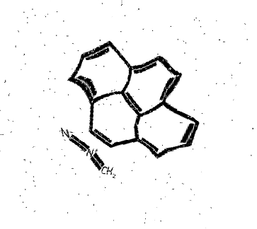 C=[N+]=[N-].c1cc2ccc3cccc4ccc(c1)c2c34